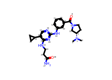 CN(C)[C@H]1CCN(C(=O)c2cccc(Nc3ncc(C4CC4)c(NCCC(N)=O)n3)c2)C1